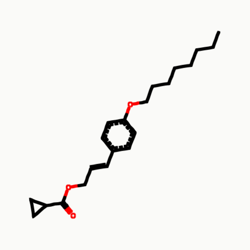 CCCCCCCCOc1ccc(C=CCOC(=O)C2CC2)cc1